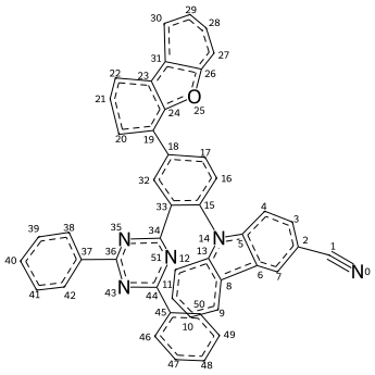 N#Cc1ccc2c(c1)c1ccccc1n2-c1ccc(-c2cccc3c2oc2ccccc23)cc1-c1nc(-c2ccccc2)nc(-c2ccccc2)n1